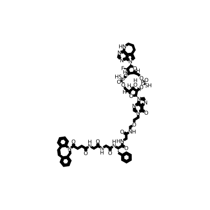 O=C(CCC(=O)N1Cc2ccccc2/C=C\c2ccccc21)NCC(=O)NCC(=O)N[C@@H](Cc1ccccc1)C(=O)NCC(=O)NCOCCn1cnc2c(ncn2[C@@H]2O[C@@H]3COP(=O)(S)O[C@H]4[C@@H](F)[C@H](n5cc6c7c(ncnc75)NCCC6)O[C@@H]4COP(=O)(S)O[C@@H]2[C@@H]3O)c1=O